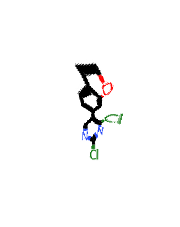 Clc1ncc(-c2ccc3ccoc3c2)c(Cl)n1